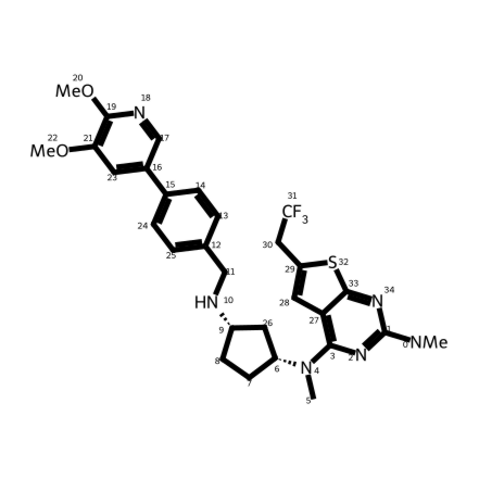 CNc1nc(N(C)[C@@H]2CC[C@H](NCc3ccc(-c4cnc(OC)c(OC)c4)cc3)C2)c2cc(CC(F)(F)F)sc2n1